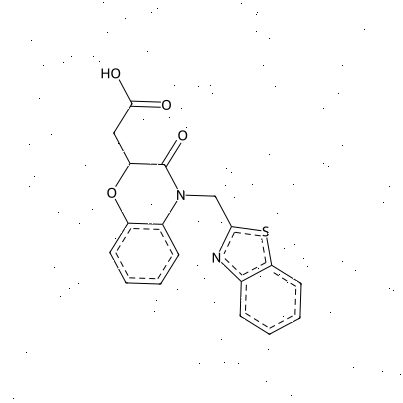 O=C(O)CC1Oc2ccccc2N(Cc2nc3ccccc3s2)C1=O